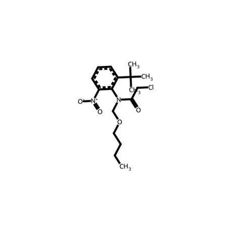 CCCCOCN(C(=O)CCl)c1c([N+](=O)[O-])cccc1C(C)(C)C